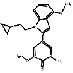 COc1cc(-c2cc3c(SC)cccc3n2CCC2CC2)cn(C)c1=O